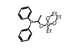 CCO[Si](CC)(OCC)OC(C)P(c1ccccc1)c1ccccc1